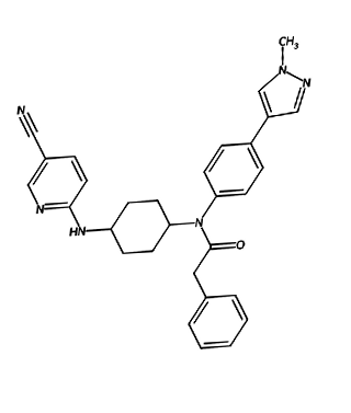 Cn1cc(-c2ccc(N(C(=O)Cc3ccccc3)C3CCC(Nc4ccc(C#N)cn4)CC3)cc2)cn1